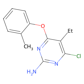 CCc1c(Cl)nc(N)nc1Oc1ccccc1C